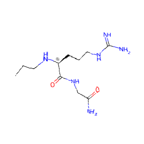 CCCN[C@@H](CCCNC(=N)N)C(=O)NCC(N)=O